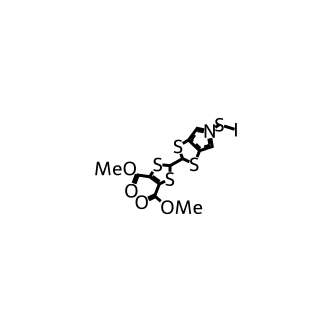 COC(=O)C1=C(C(=O)OC)SC(C2Sc3cn(SI)cc3S2)S1